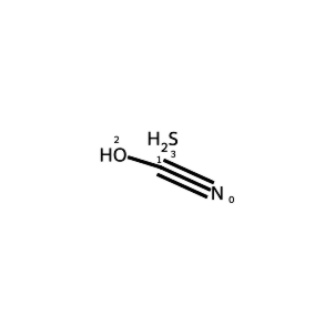 N#CO.S